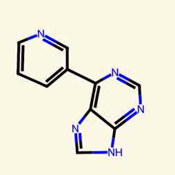 c1cncc(-c2ncnc3[nH]cnc23)c1